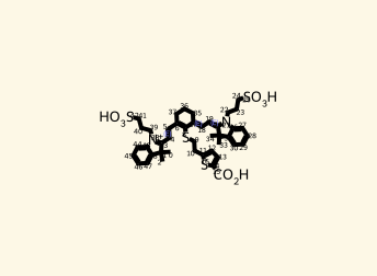 CC1(C)C(/C=C/C2=C(SCCc3ccc(C(=O)O)s3)C(=C/C=C3/N(CCCS(=O)(=O)O)c4ccccc4C3(C)C)/CCC2)=[N+](CCCS(=O)(=O)O)c2ccccc21